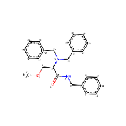 COC[C@H](C(=O)NCc1ccccc1)N(Cc1ccccc1)Cc1ccccc1